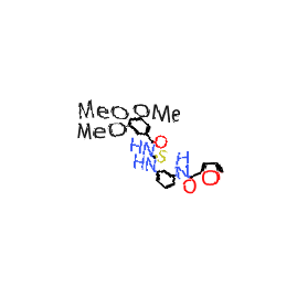 COc1cc(C(=O)NC(=S)Nc2cccc(NC(=O)c3ccco3)c2)cc(OC)c1OC